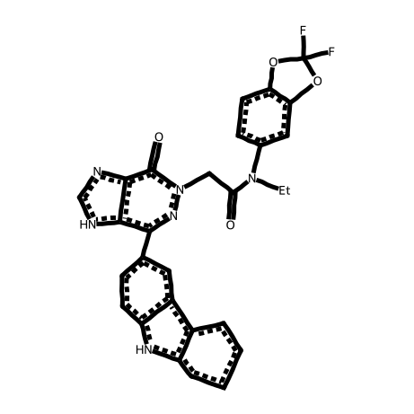 CCN(C(=O)Cn1nc(-c2ccc3[nH]c4ccccc4c3c2)c2[nH]cnc2c1=O)c1ccc2c(c1)OC(F)(F)O2